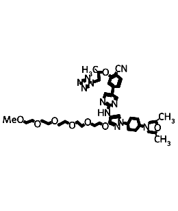 COCCOCCOCCOCCOCCOc1nn(C2CCC(N3C[C@@H](C)O[C@@H](C)C3)CC2)cc1Nc1ncc(-c2ccc(C#N)c(O[C@@H](C)Cn3cnnn3)c2)cn1